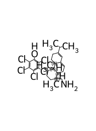 CC(C)C1=CC2=CC[C@H]3[C@](C)(CN)CCC[C@]3(C)[C@H]2CC1.Oc1c(Cl)c(Cl)c(Cl)c(Cl)c1Cl